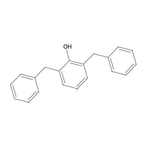 Oc1c(Cc2ccccc2)c[c]cc1Cc1ccccc1